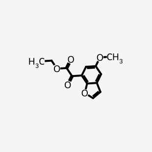 CCOC(=O)C(=O)c1cc(OC)cc2ccoc12